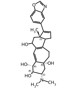 CN(C)[C@H]1C[C@]2(O)CCC3=C(C=C2[C@@H](O)[C@@H]1O)C(O)C[C@]1(C)C(c2ccc4ocnc4c2)=CCC31